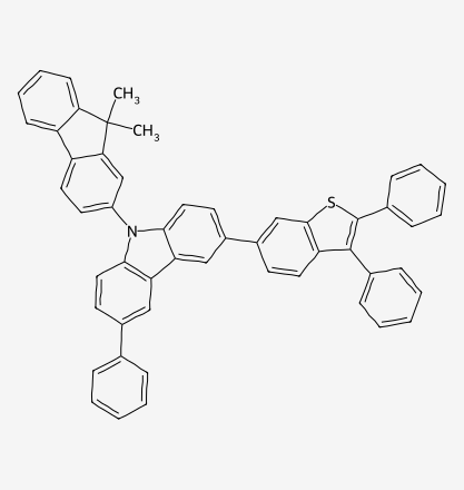 CC1(C)c2ccccc2-c2ccc(-n3c4ccc(-c5ccccc5)cc4c4cc(-c5ccc6c(-c7ccccc7)c(-c7ccccc7)sc6c5)ccc43)cc21